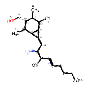 CCCCCCCCCCCCC/C=C/C(N=O)C(N)CC1C2C(C#N)C(C)[C@@H](CO)C(C)C12